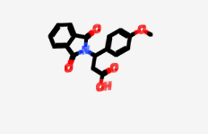 COc1ccc(C(CC(=O)O)N2C(=O)c3ccccc3C2=O)cc1